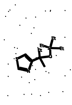 CCC(C)(O[Si](CC)(CC)CC)c1cscn1